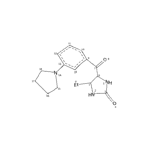 CCC1NC(=O)NC1C(=O)c1cccc(N2CCCC2)c1